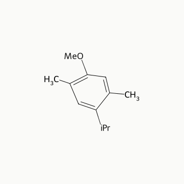 COc1cc(C)c(C(C)C)cc1C